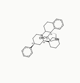 O=C[C@@H]1CNC[C@]12c1ccccc1CCC2N1CC[C@H](c2ccccc2)C[C@@H]1C1CCCCC1